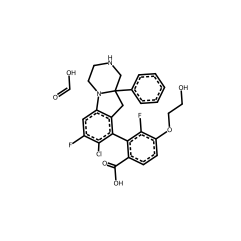 O=C(O)c1ccc(OCCO)c(F)c1-c1c(Cl)c(F)cc2c1CC1(c3ccccc3)CNCCN21.O=CO